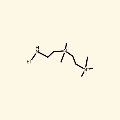 CCNCC[N+](C)(C)CC[N+](C)(C)C